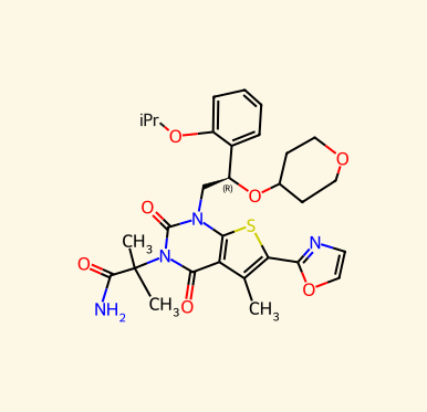 Cc1c(-c2ncco2)sc2c1c(=O)n(C(C)(C)C(N)=O)c(=O)n2C[C@H](OC1CCOCC1)c1ccccc1OC(C)C